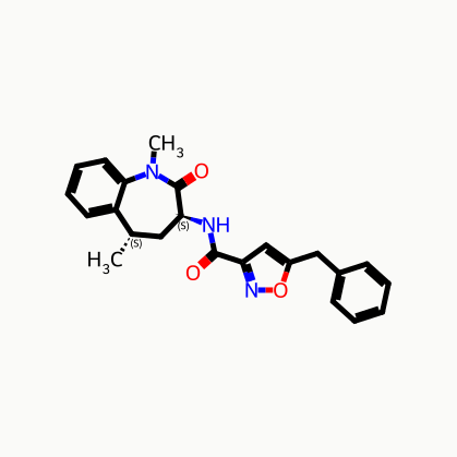 C[C@H]1C[C@H](NC(=O)c2cc(Cc3ccccc3)on2)C(=O)N(C)c2ccccc21